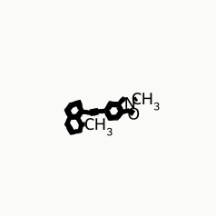 CC1CC=Cc2cccc(C#Cc3ccc4c(c3)CN(C)C4=O)c21